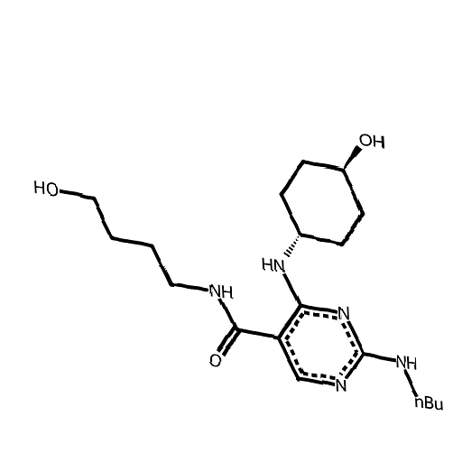 CCCCNc1ncc(C(=O)NCCCCO)c(N[C@H]2CC[C@H](O)CC2)n1